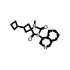 CN1C(=O)N(c2cncc3ccccc23)C(=O)C12CC(C1CCC1)C2